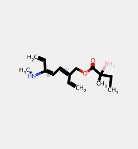 BC(C)(CC)C(=O)OC/C(C=C)=C/C=C(\C=C)NC